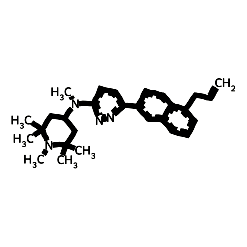 C=CCc1cccc2cc(-c3ccc(N(C)C4CC(C)(C)N(C)C(C)(C)C4)nn3)ccc12